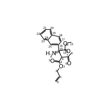 C=CCOC(=O)C(C(C)=O)[C@](N)(C(=O)OC)c1ccc2ccccc2c1